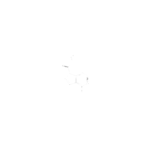 CC(C)(C)OC(=O)n1ncc2c(Cl)ncnc21